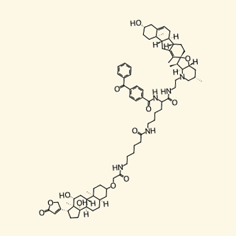 CC1=C2C[C@H]3[C@@H](CC=C4C[C@@H](O)CC[C@@]43C)[C@@H]2CC[C@]12O[C@@H]1C[C@H](C)CN(CCNC(=O)C(CCCCNC(=O)CCCCCNC(=O)COC3CC[C@@]4(C)[C@H](CC[C@@H]5[C@@H]4C[C@@H](O)[C@]4(C)[C@@H](C6=CC(=O)OC6)CC[C@]54O)C3)NC(=O)c3ccc(C(=O)c4ccccc4)cc3)[C@H]1[C@H]2C